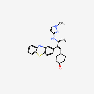 C=C(Nc1ccn(C)n1)/C(=C/C1CCC(=O)CC1)c1ccc2c(c1)Nc1ccccc1S2